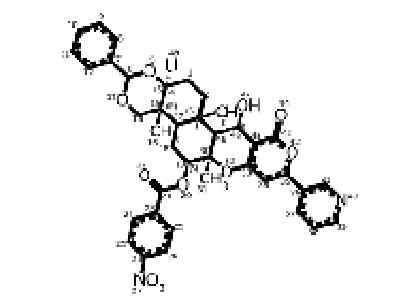 C[C@]12CC[C@@H]3OC(c4ccccc4)OC[C@@]3(C)C1C[C@H](OC(=O)c1ccc([N+](=O)[O-])cc1)[C@@]1(C)Oc3cc(-c4cccnc4)oc(=O)c3[C@H](O)C21